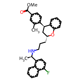 COC(=O)c1ccc([C@@H]2C[C@@H](CCCN[C@H](C)c3ccc(F)c4ccccc34)Oc3ccccc32)c(C)c1